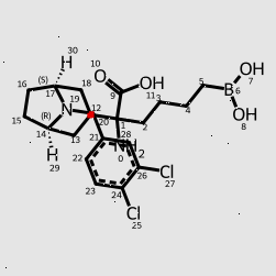 NC(CCCCB(O)O)(C(=O)O)C1C[C@H]2CC[C@@H](C1)N2Cc1ccc(Cl)c(Cl)c1